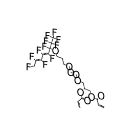 C=CC(=O)OCC(COOOOCCCOC(F)(/C(F)=C(F)/C(F)=C(\F)CF)C(F)(F)C(F)(F)F)OC(=O)C=C